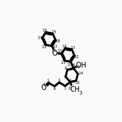 CC1(CCCC=O)CCC(O)(c2cccc(Oc3ccccc3)c2)CC1